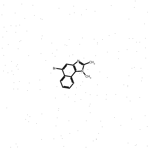 Cc1nc2cc(Br)c3ccccc3c2n1C